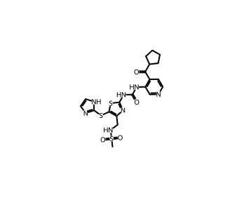 CS(=O)(=O)NCc1nc(NC(=O)Nc2cnccc2C(=O)C2CCCC2)sc1Sc1ncc[nH]1